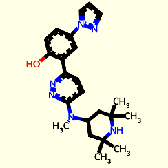 CN(c1ccc(-c2cc(-n3cccn3)ccc2O)nn1)C1CC(C)(C)NC(C)(C)C1